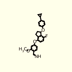 COc1cc(Oc2ccc(F)c3c2CCC3Oc2ccc(C3CC3)cc2)ccc1C=N